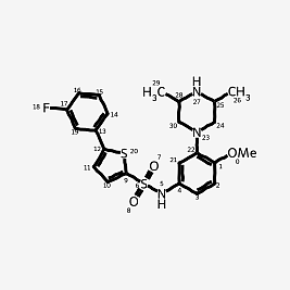 COc1ccc(NS(=O)(=O)c2ccc(-c3cccc(F)c3)s2)cc1N1CC(C)NC(C)C1